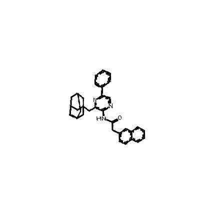 O=C(Cc1ccc2ccccc2c1)Nc1ncc(-c2ccccc2)nc1CC12CC3CC(CC(C3)C1)C2